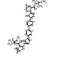 CC(C)(C)OC(=O)N1C(c2ncc(-c3ccc(-c4ccc(-c5cnc(C6CC7C[C@@H]7N6C(=O)OC(C)(C)C)[nH]5)cc4)cc3)[nH]2)CC2CC21